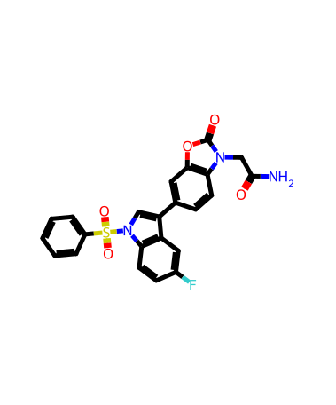 NC(=O)Cn1c(=O)oc2cc(-c3cn(S(=O)(=O)c4ccccc4)c4ccc(F)cc34)ccc21